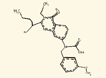 CCCC(Br)c1nc2cc(N(Cc3cccc(OC)c3)C(=O)O)ccc2c(=O)n1CC